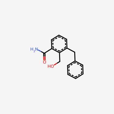 NC(=O)c1cccc(Cc2ccccc2)c1CO